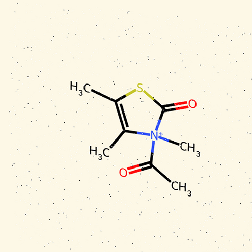 CC(=O)[N+]1(C)C(=O)SC(C)=C1C